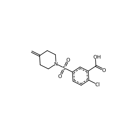 C=C1CCN(S(=O)(=O)c2ccc(Cl)c(C(=O)O)c2)CC1